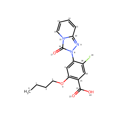 CCCCOc1cc(-n2nc3ccccn3c2=O)c(F)cc1C(=O)O